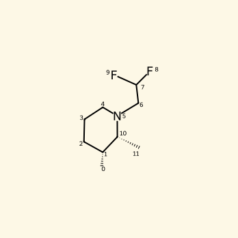 C[C@@H]1CCCN(CC(F)F)[C@@H]1C